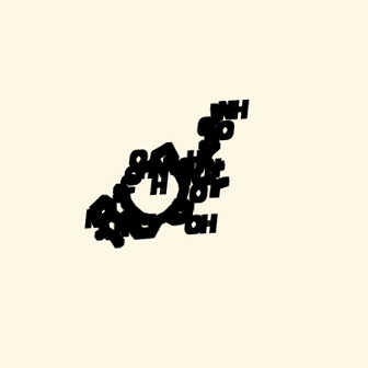 CCn1c(-c2cccnc2C(C)C)c2c3cc(ccc31)-c1cc(O)cc(c1)C[C@H](NC(=O)[C@H](C(C)C)N(C)C(=O)C1CN(S(=O)(=O)[C@@H]3CN3)C1)C(=O)N1CCC[C@H](N1)C(=O)OCC(C)(C)C2